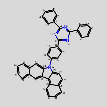 c1ccc(-c2nc(-c3ccccc3)nc(-c3ccc(-n4c5cc6ccccc6cc5c5c6ccccc6ccc54)cc3)n2)cc1